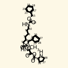 CC(NP(=O)(CCCCCCNC(=O)OCc1ccccc1)OCc1ccccc1)C(=O)OC(=O)[C@@H]1CCCN1